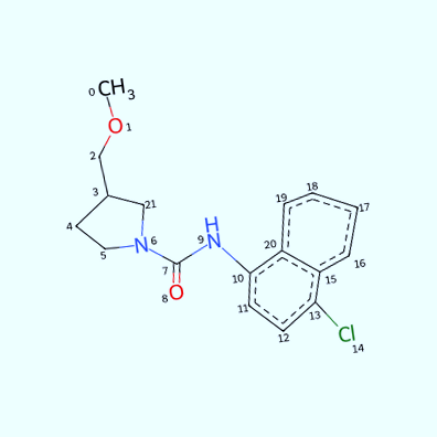 COCC1CCN(C(=O)Nc2ccc(Cl)c3ccccc23)C1